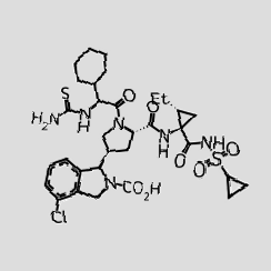 CC[C@@H]1C[C@]1(NC(=O)[C@@H]1C[C@@H](C2c3cccc(Cl)c3CN2C(=O)O)CN1C(=O)C(NC(N)=S)C1CCCCC1)C(=O)NS(=O)(=O)C1CC1